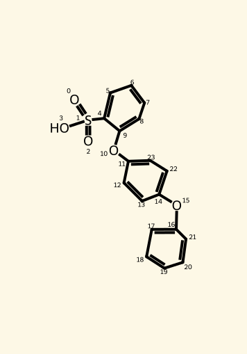 O=S(=O)(O)c1ccccc1Oc1ccc(Oc2ccccc2)cc1